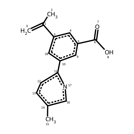 C=C(C)c1cc(C(=O)O)cc(-c2ccc(C)cn2)c1